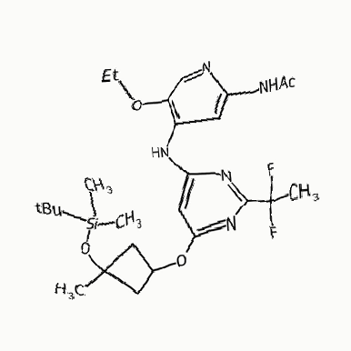 CCOc1cnc(NC(C)=O)cc1Nc1cc(OC2CC(C)(O[Si](C)(C)C(C)(C)C)C2)nc(C(C)(F)F)n1